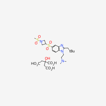 CN(C)CCn1c(CC(C)(C)C)nc2cc(S(=O)(=O)C3CN(S(C)(=O)=O)C3)ccc21.O=C(O)CC(O)(CC(=O)O)C(=O)O